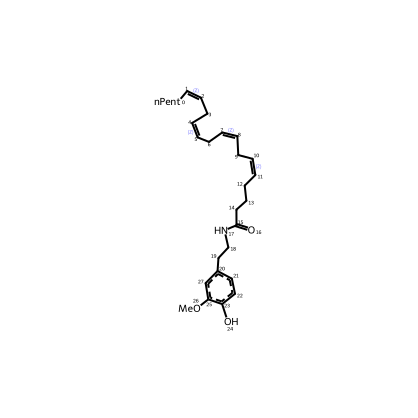 CCCCC/C=C\C/C=C\C/C=C\C/C=C\CCCC(=O)NCCc1ccc(O)c(OC)c1